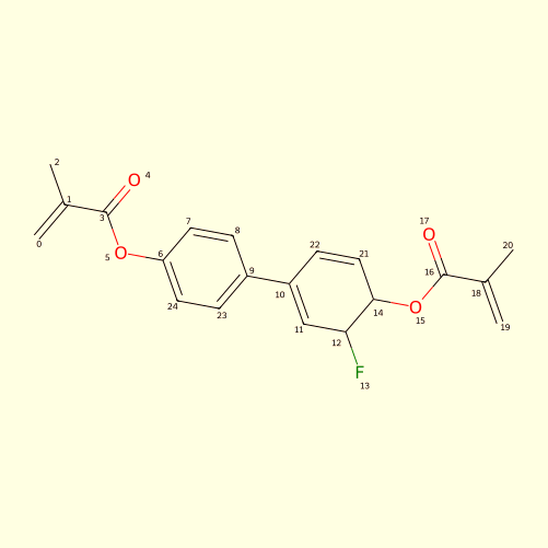 C=C(C)C(=O)Oc1ccc(C2=CC(F)C(OC(=O)C(=C)C)C=C2)cc1